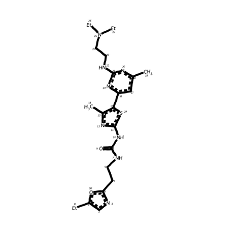 CCc1cnc(CCNC(=O)Nc2nc(C)c(-c3cc(C)nc(NCCN(CC)CC)n3)s2)o1